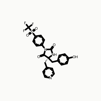 O=C1N[C@@](Cc2ccncc2)(Cc2ccc(O)cc2)C(=O)N1c1ccc(S(=O)(=O)C(F)(F)F)cc1